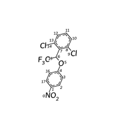 O=[N+]([O-])c1ccc(OC(c2c(Cl)cccc2Cl)C(F)(F)F)cc1